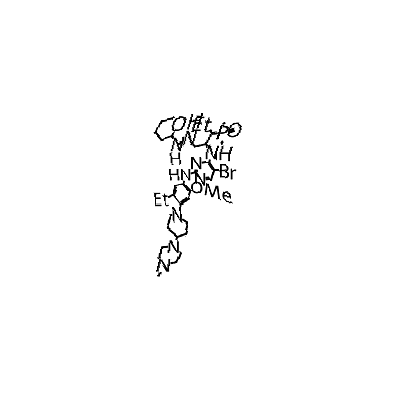 CCc1cc(Nc2ncc(Br)c(NC(CNNC3CCCCO3)C(CC)P(C)(C)=O)n2)c(OC)cc1N1CCC(N2CCN(C)CC2)CC1